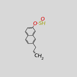 C=CCc1ccc2ccc(O[SH]=O)cc2c1